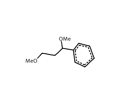 COCCC(OC)c1ccccc1